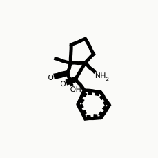 CC1(C(=O)O)CCCC1(N)C(=O)c1ccccc1